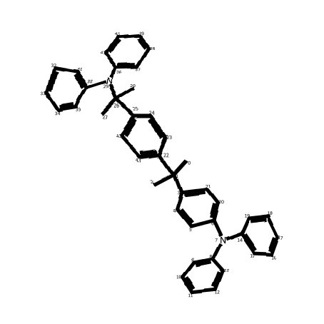 CC(C)(c1ccc(N(c2ccccc2)c2ccccc2)cc1)c1ccc(C(C)(C)N(c2ccccc2)c2ccccc2)cc1